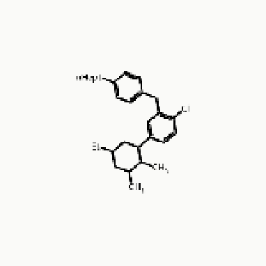 CCCCCCCc1ccc(Cc2cc(C3CC(CC)CC(C)C3C)ccc2Cl)cc1